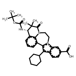 CC(C)(C)OC(=O)N[C@H]1c2cccc3c2N(CCn2c-3c(C3CCCCC3)c3ccc(C(=O)O)cc32)C(=O)C1(C)C